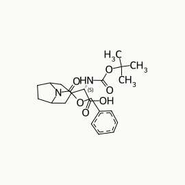 CC(C)(C)OC(=O)N[C@H](C(=O)O)C1CC2CCC(C1)N2C(=O)OCc1ccccc1